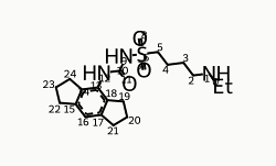 CCNCCCCS(=O)(=O)NC(=O)Nc1c2c(cc3c1CCC3)CCC2